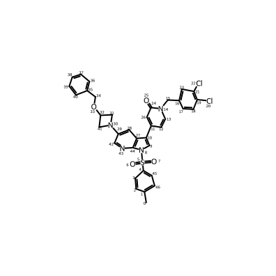 Cc1ccc(S(=O)(=O)n2cc(-c3ccn(Cc4ccc(Cl)c(Cl)c4)c(=O)c3)c3cc(N4CC(OCc5ccccc5)C4)cnc32)cc1